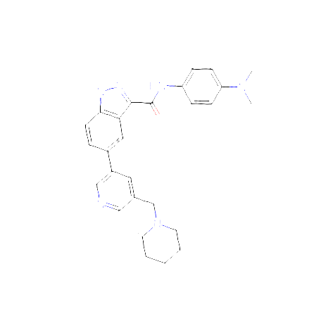 CN(C)c1ccc(NC(=O)c2n[nH]c3ccc(-c4cncc(CN5CCCCC5)c4)cc23)cc1